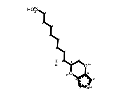 O=S(=O)(O)CCCCCCCCC1COc2cscc2O1.[K]